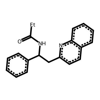 CCC(=O)NC(Cc1ccc2ccccc2n1)c1ccccc1